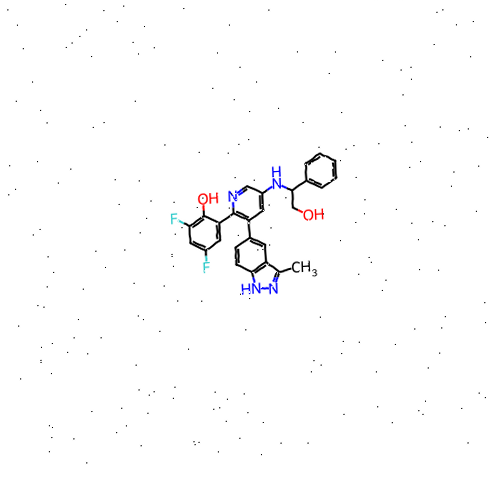 Cc1n[nH]c2ccc(-c3cc(NC(CO)c4ccccc4)cnc3-c3cc(F)cc(F)c3O)cc12